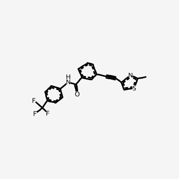 Cc1nc(C#Cc2cccc(C(=O)Nc3ccc(C(F)(F)F)cc3)c2)cs1